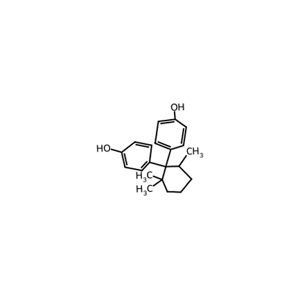 CC1CCCC(C)(C)C1(c1ccc(O)cc1)c1ccc(O)cc1